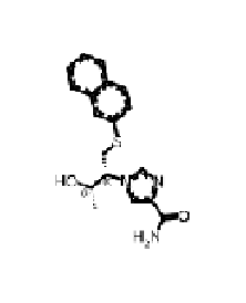 C[C@H](O)[C@H](CSc1ccc2ccccc2c1)n1cnc(C(N)=O)c1